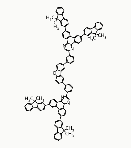 CC1(C)c2ccccc2-c2ccc(-c3ccc4c(c3)c3cc(-c5ccc6c(c5)C(C)(C)c5ccccc5-6)ccc3c3nc(-c5cccc(-c6ccc7oc8ccc(-c9cccc(-c%10cnc%11c%12ccc(-c%13ccc%14c(c%13)C(C)(C)c%13ccccc%13-%14)cc%12c%12cc(-c%13ccc%14c(c%13)C(C)(C)c%13ccccc%13-%14)ccc%12c%11n%10)c9)cc8c7c6)c5)cnc43)cc21